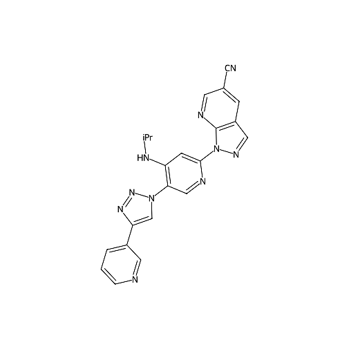 CC(C)Nc1cc(-n2ncc3cc(C#N)cnc32)ncc1-n1cc(-c2cccnc2)nn1